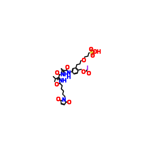 CC(C)[C@H](NC(=O)CCCCCN1C(=O)C=CC1=O)C(=O)N[C@@H](C)C(=O)Nc1ccc(COC(=O)I)c(CCCOCCCS(=O)(=O)O)c1